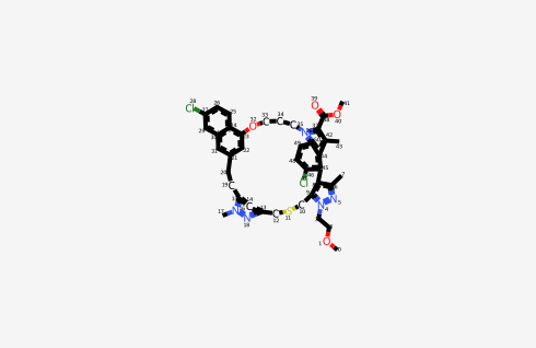 COCCn1nc(C)c2c1CSCc1cc(n(C)n1)CCc1cc(c3ccc(Cl)cc3c1)OCCCn1c(C(=O)OC)c(C)c3c-2c(Cl)ccc31